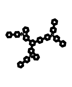 c1ccc(-c2ccc(N(c3ccc(-c4ccccc4)cc3)c3ccc(-c4ccc(-c5cc(-c6ccc7c(c6)c6ccccc6n7-c6ccc(-c7ccccc7)cc6)cc(-c6ccc7c(c6)c6ccccc6n7-c6ccc(-c7ccccc7)cc6)c5)cc4)cc3)cc2)cc1